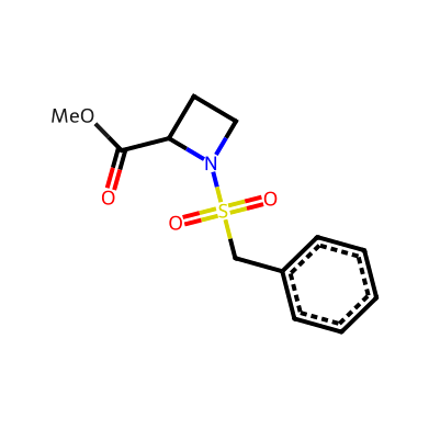 COC(=O)C1CCN1S(=O)(=O)Cc1ccccc1